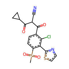 CS(=O)(=O)c1ccc(C(=O)C(C#N)C(=O)C2CC2)c(Cl)c1-c1nccs1